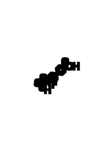 COC(=O)C(=O)Nc1ccc(C2CCC(C(=O)O)CC2)cc1F